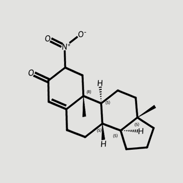 C[C@@]12CCC[C@H]1[C@@H]1CCC3=CC(=O)C([N+](=O)[O-])C[C@]3(C)[C@H]1CC2